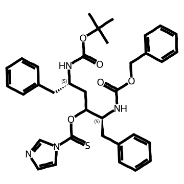 CC(C)(C)OC(=O)N[C@@H](Cc1ccccc1)CC(OC(=S)n1ccnc1)[C@H](Cc1ccccc1)NC(=O)OCc1ccccc1